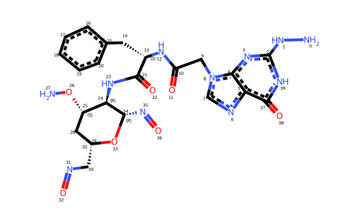 NNc1nc2c(ncn2CC(=O)N[C@@H](Cc2ccccc2)C(=O)N[C@@H]2[C@@H](ON)C[C@@H](CN=O)O[C@H]2N=O)c(=O)[nH]1